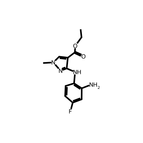 CCOC(=O)c1cn(C)nc1Nc1ccc(F)cc1N